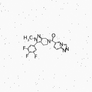 Cn1nc2c(c1-c1cc(F)c(F)c(F)c1)CCN(C(=O)c1ccc3nncn3c1)C2